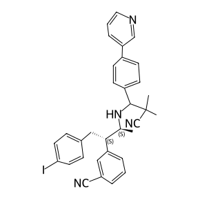 C[C@H](NC(c1ccc(-c2cccnc2)cc1)C(C)(C)C#N)[C@@H](Cc1ccc(I)cc1)c1cccc(C#N)c1